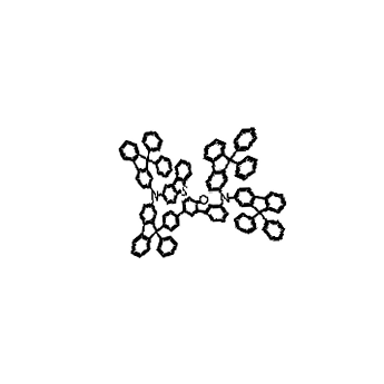 c1ccc(C2(c3ccccc3)c3ccccc3-c3ccc(N(c4ccc5c(c4)C(c4ccccc4)(c4ccc(-c6ccc7oc8c(N(c9ccc%10c(c9)C(c9ccccc9)(c9ccccc9)c9ccccc9-%10)c9ccc%10c(c9)C(c9ccccc9)(c9ccccc9)c9ccccc9-%10)cccc8c7c6)cc4)c4ccccc4-5)c4ccc5sc6ccccc6c5c4)cc32)cc1